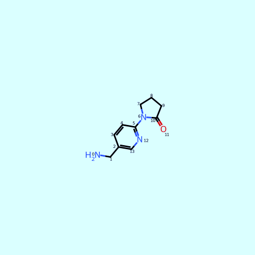 NCc1ccc(N2CCCC2=O)nc1